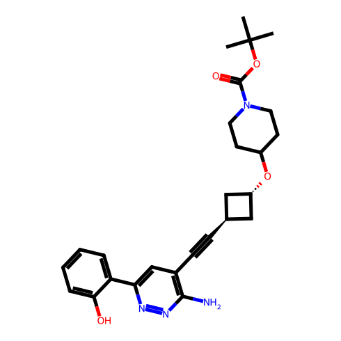 CC(C)(C)OC(=O)N1CCC(O[C@H]2C[C@H](C#Cc3cc(-c4ccccc4O)nnc3N)C2)CC1